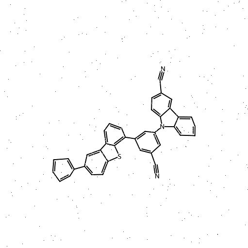 N#Cc1cc(-c2cccc3c2sc2ccc(-c4ccccc4)cc23)cc(-n2c3ccccc3c3cc(C#N)ccc32)c1